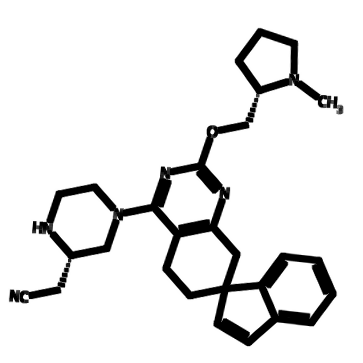 CN1CCC[C@H]1COc1nc2c(c(N3CCN[C@@H](CC#N)C3)n1)CCC1(C=Cc3ccccc31)C2